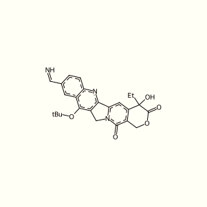 CCC1(O)C(=O)OCc2c1cc1n(c2=O)Cc2c-1nc1ccc(C=N)cc1c2OC(C)(C)C